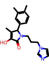 CC1=C(O)C(=O)N(CCCn2ccnc2)C1c1ccc(C)c(C)c1